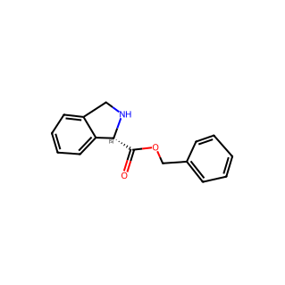 O=C(OCc1ccccc1)[C@H]1NCc2ccccc21